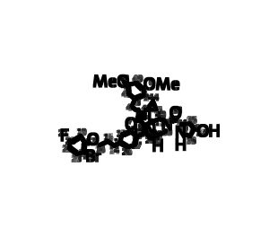 COc1cc(CN(C(=O)C2=C(c3ccc(CCCOc4cc(F)ccc4Br)cc3)C[C@H]3CN(C(=O)[C@@H]4C[C@@H](O)CN4)C[C@@H]2N3)C2CC2)cc(OC)c1